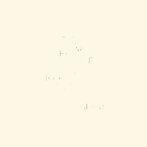 CCCCCC1CCC(C(=O)O)(c2cc(F)c(OC(F)(F)F)c(F)c2)CC1